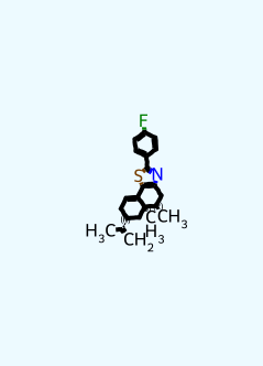 C=C(C)[C@@H]1CC=C2c3sc(-c4ccc(F)cc4)nc3C[C@@H](C)[C@]2(C)C1